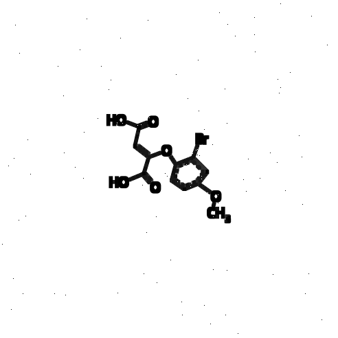 COc1ccc(O/C(=C\C(=O)O)C(=O)O)c(Br)c1